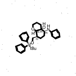 CC(C)(C)[Si](OC[C@@H]1CC[C@@H](Nc2ccccc2)[C@]2(O)CCCO[C@H]12)(c1ccccc1)c1ccccc1